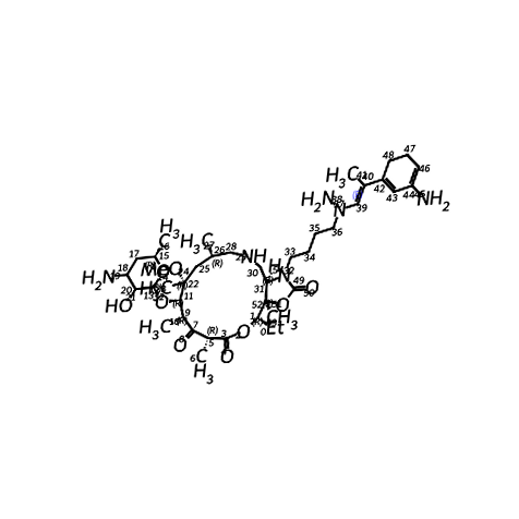 CC[C@H]1OC(=O)[C@H](C)C(=O)[C@H](C)[C@@H](O[C@@H]2O[C@H](C)CC(N)C2O)[C@](C)(OC)C[C@@H](C)CNC[C@H]2N(CCCCN(N)/C=C(\C)C3=CC(N)=CCC3)C(=O)O[C@]12C